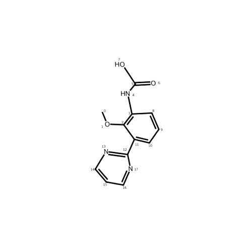 COc1c(NC(=O)O)cccc1-c1ncccn1